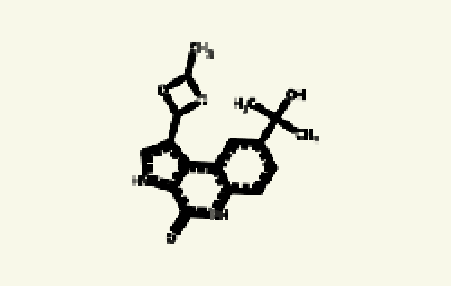 CC1OC(c2c[nH]c3c(=O)[nH]c4ccc(C(C)(C)O)cc4c23)O1